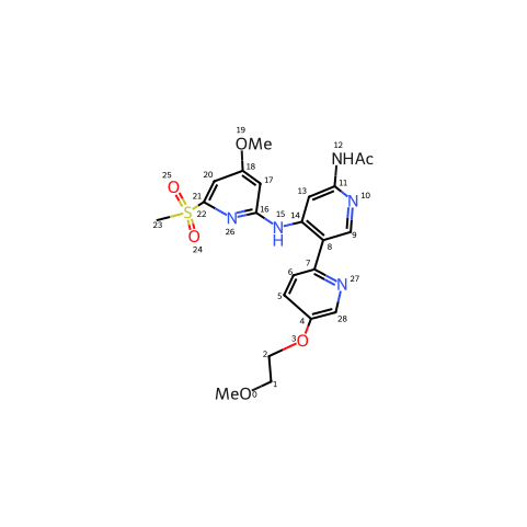 COCCOc1ccc(-c2cnc(NC(C)=O)cc2Nc2cc(OC)cc(S(C)(=O)=O)n2)nc1